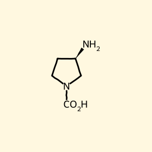 N[C@@H]1CCN(C(=O)O)C1